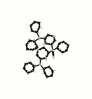 O=P(c1ccccc1)(c1cncc(N(c2ccccc2)c2ccccc2)n1)c1cncc(N(c2ccccc2)c2ccccc2)n1